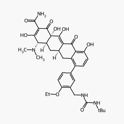 CCOc1ccc(-c2ccc(O)c3c2C[C@H]2C[C@H]4[C@H](N(C)C)C(O)=C(C(N)=O)C(=O)[C@@]4(O)C(O)=C2C3=O)cc1CNC(=O)NC(C)(C)C